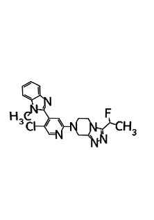 CC(F)c1nnc2n1CCN(c1cc(-c3nc4ccccc4n3C)c(Cl)cn1)C2